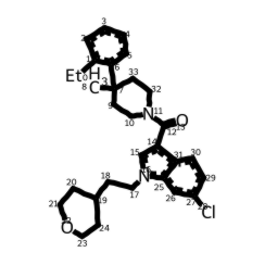 CCc1ccccc1C1(C)CCN(C(=O)c2cn(CCC3CCOCC3)c3cc(Cl)ccc23)CC1